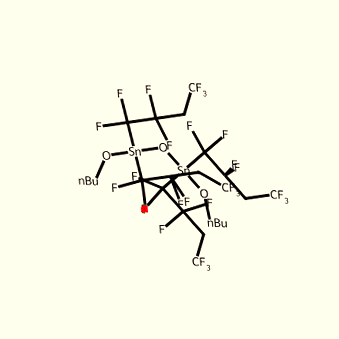 CCCC[O][Sn]([O][Sn]([O]CCCC)([C](F)(F)C(F)(F)CC(F)(F)F)[C](F)(F)C(F)(F)CC(F)(F)F)([C](F)(F)C(F)(F)CC(F)(F)F)[C](F)(F)C(F)(F)CC(F)(F)F